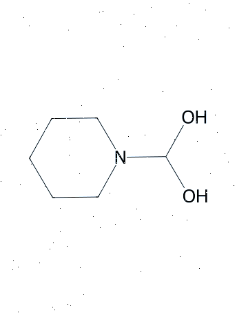 OC(O)N1CCCCC1